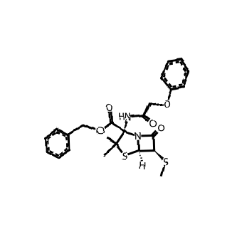 CS[C@@H]1C(=O)N2[C@@H]1SC(C)(C)[C@]2(NC(=O)COc1ccccc1)C(=O)OCc1ccccc1